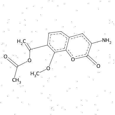 C=C(OC(C)=O)c1ccc2cc(N)c(=O)oc2c1OC